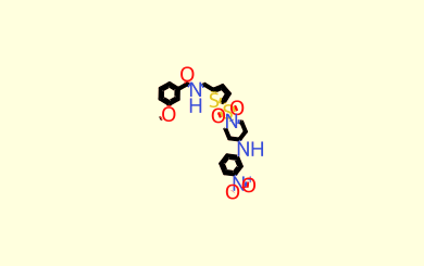 COc1cccc(C(=O)NCc2ccc(S(=O)(=O)N3CCC(Nc4cccc([N+](=O)[O-])c4)CC3)s2)c1